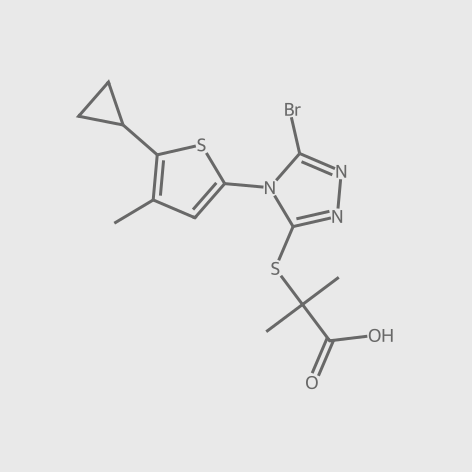 Cc1cc(-n2c(Br)nnc2SC(C)(C)C(=O)O)sc1C1CC1